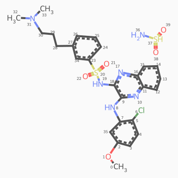 COc1ccc(Cl)c(Nc2nc3ccccc3nc2NS(=O)(=O)c2cccc(CCCN(C)C)c2)c1.N[SH](=O)=O